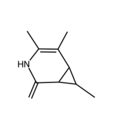 C=C1NC(C)=C(C)C2C(C)C12